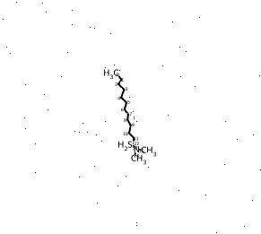 CCCCCCCCCCCC[SiH2]N(C)C